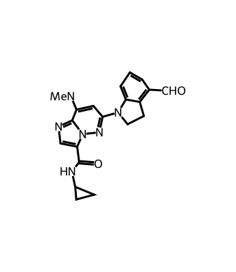 CNc1cc(N2CCc3c(C=O)cccc32)nn2c(C(=O)NC3CC3)cnc12